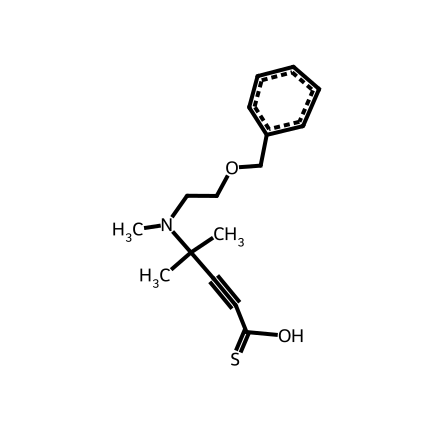 CN(CCOCc1ccccc1)C(C)(C)C#CC(O)=S